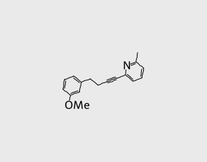 COc1cccc(CCC#Cc2cccc(C)n2)c1